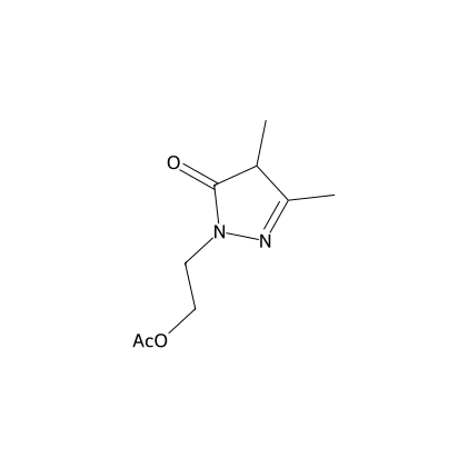 CC(=O)OCCN1N=C(C)C(C)C1=O